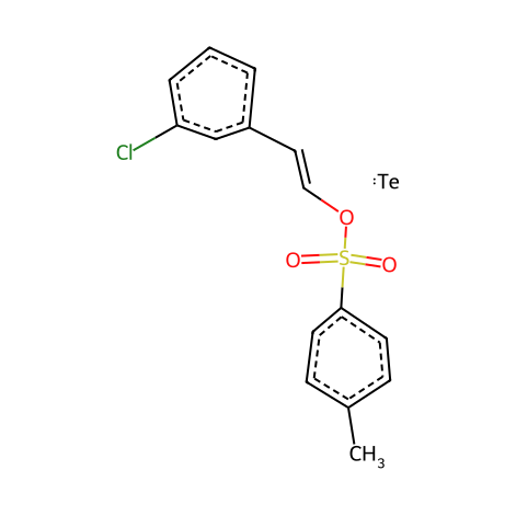 Cc1ccc(S(=O)(=O)OC=Cc2cccc(Cl)c2)cc1.[Te]